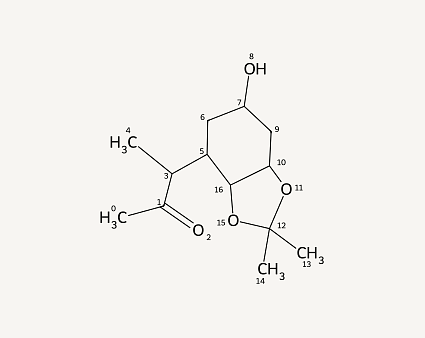 CC(=O)C(C)C1CC(O)CC2OC(C)(C)OC21